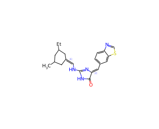 CCC1C/C(=C/NC2=N/C(=C\c3ccc4ncsc4c3)C(=O)N2)CC(C)C1